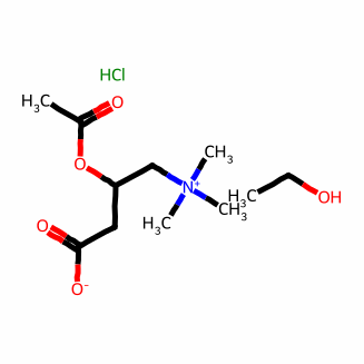 CC(=O)OC(CC(=O)[O-])C[N+](C)(C)C.CCO.Cl